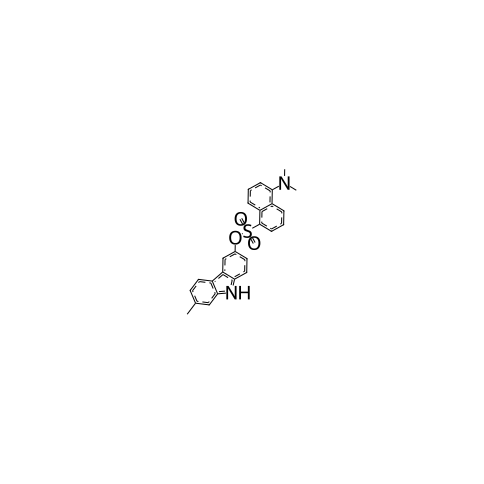 Cc1ccc2c(c1)[nH]c1ccc(OS(=O)(=O)c3cccc4c(N(C)C)cccc34)cc12